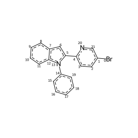 Brc1ccc(-c2cc3ccccc3n2-c2ccccc2)nc1